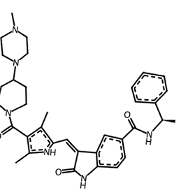 Cc1[nH]c(C=C2C(=O)Nc3ccc(C(=O)N[C@H](C)c4ccccc4)cc32)c(C)c1C(=O)N1CCC(N2CCN(C)CC2)CC1